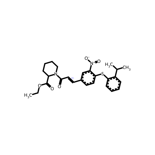 CCOC(=O)C1CCCCN1C(=O)/C=C/c1ccc(Sc2ccccc2C(C)C)c([N+](=O)[O-])c1